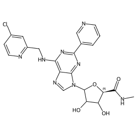 CNC(=O)[C@@H]1OC(n2cnc3c(NCc4cc(Cl)ccn4)nc(-c4cccnc4)nc32)C(O)C1O